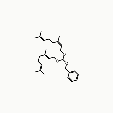 CC(C)=CCCC(C)=CCOC(OCC=C(C)CCC=C(C)C)OCc1ccccc1